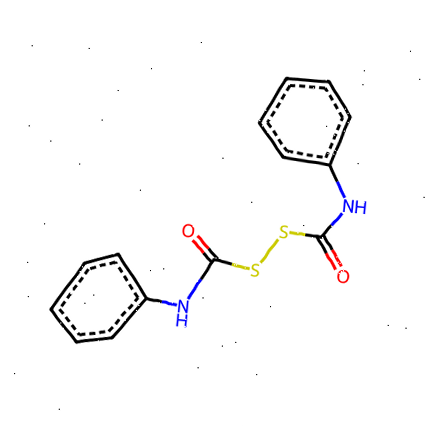 O=C(Nc1ccccc1)SSC(=O)Nc1ccccc1